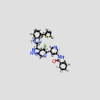 O=C(Nc1cncc(-c2ncc3[nH]nc(-c4nc5c(-c6cccs6)cccc5[nH]4)c3c2F)c1)c1ccccc1